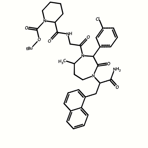 CC1CCN(C(Cc2cccc3ccccc23)C(N)=O)C(=O)C(c2cccc(Cl)c2)N1C(=O)CNC(=O)C1CCCCN1C(=O)OC(C)(C)C